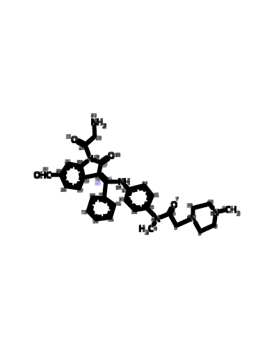 CN1CCN(CC(=O)N(C)c2ccc(N/C(=C3\C(=O)N(C(=O)CN)c4cc(C=O)ccc43)c3ccccc3)cc2)CC1